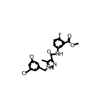 COC(=O)c1cc(NC(=O)c2nnn(Cc3cc(Cl)cc(Cl)c3)c2C)ccc1F